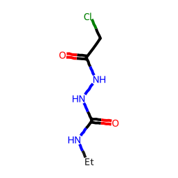 CCNC(=O)NNC(=O)CCl